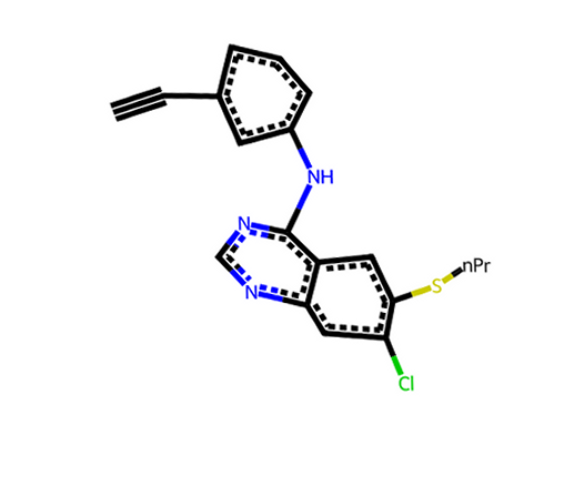 C#Cc1cccc(Nc2ncnc3cc(Cl)c(SCCC)cc23)c1